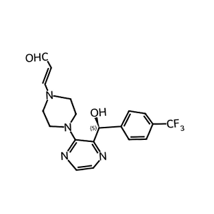 O=CC=CN1CCN(c2nccnc2[C@@H](O)c2ccc(C(F)(F)F)cc2)CC1